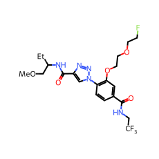 CCC(COC)NC(=O)c1cn(-c2ccc(C(=O)NCC(F)(F)F)cc2OCCOCCF)nn1